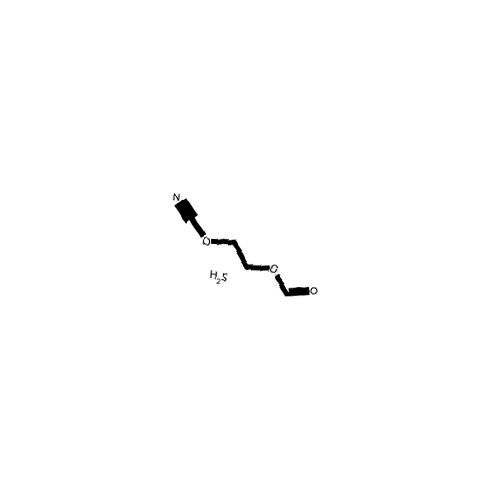 N#COCCOC=O.S